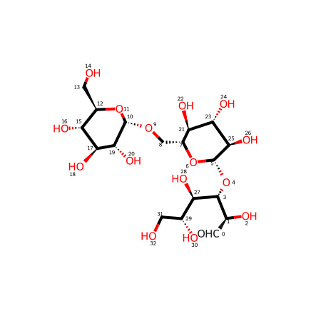 O=C[C@H](O)[C@@H](O[C@@H]1O[C@H](CO[C@H]2O[C@H](CO)[C@@H](O)[C@H](O)[C@H]2O)[C@@H](O)[C@H](O)[C@H]1O)[C@H](O)[C@H](O)CO